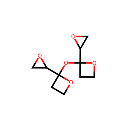 C1CC(OC2(C3CO3)CCO2)(C2CO2)O1